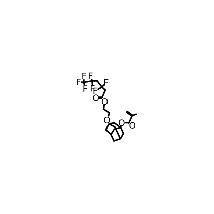 C=C(C)C(=O)OC12CC3CC(CC(OCCOC(=O)CC(F)(F)CC(F)(F)C(F)(F)F)(C3)C1)C2